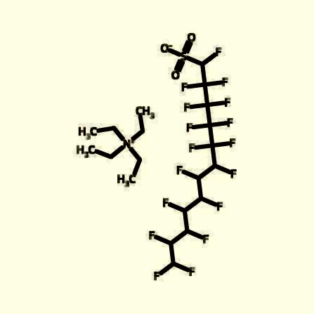 CC[N+](CC)(CC)CC.O=S(=O)([O-])C(F)C(F)(F)C(F)(F)C(F)(F)C(F)(F)C(F)C(F)C(F)C(F)C(F)C(F)C(F)F